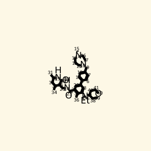 CCN(c1cc(-c2ccc(CN3CCCN(C)CC3)cc2)cc(C(=O)NCC2C(=O)NC(C)CC2C)c1C)C1CCOCC1